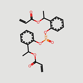 C=CC(=O)OC(C)c1ccccc1O[PH](=O)Oc1ccccc1C(C)OC(=O)C=C